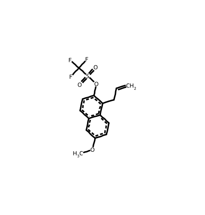 C=CCc1c(OS(=O)(=O)C(F)(F)F)ccc2cc(OC)ccc12